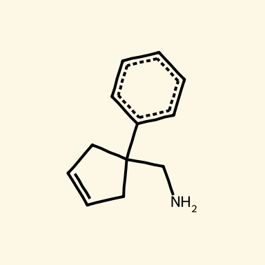 NCC1(c2ccccc2)CC=CC1